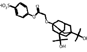 CC(C)(O)C12CC3CC(OCC(=O)Oc4ccc(S(=O)(=O)O)cc4)(C1)CC(C(C)(C)O)(C3)C2